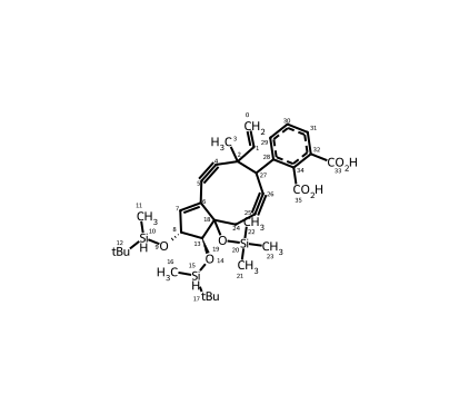 C=CC1(C)C#CC2=C[C@@H](O[SiH](C)C(C)(C)C)[C@H](O[SiH](C)C(C)(C)C)C2(O[Si](C)(C)C)CC#CC1c1cccc(C(=O)O)c1C(=O)O